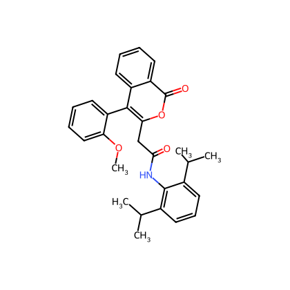 COc1ccccc1-c1c(CC(=O)Nc2c(C(C)C)cccc2C(C)C)oc(=O)c2ccccc12